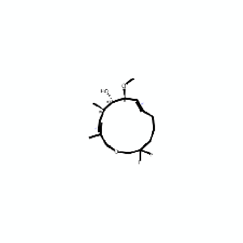 CO[C@H]1/C=C/CCCC(F)(F)COC/C(C)=C\[C@@H](C)[C@@H]1O